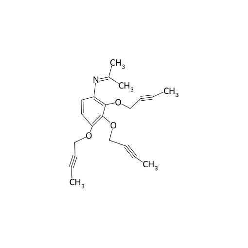 CC#CCOc1ccc(N=C(C)C)c(OCC#CC)c1OCC#CC